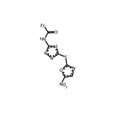 CCC(=O)Nc1nnc(Sc2ncc([N+](=O)[O-])o2)s1